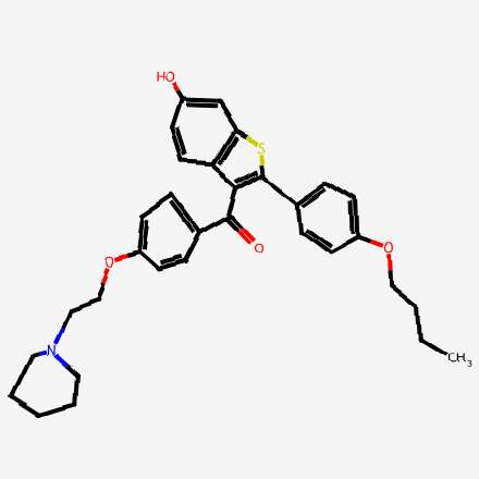 CCCCOc1ccc(-c2sc3cc(O)ccc3c2C(=O)c2ccc(OCCN3CCCCC3)cc2)cc1